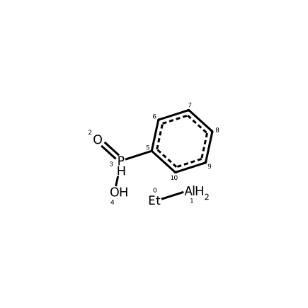 C[CH2][AlH2].O=[PH](O)c1ccccc1